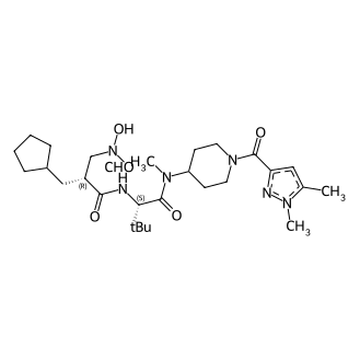 Cc1cc(C(=O)N2CCC(N(C)C(=O)[C@@H](NC(=O)[C@H](CC3CCCC3)CN(O)C=O)C(C)(C)C)CC2)nn1C